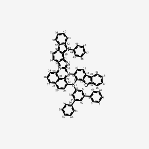 c1ccc(-c2cc(B3c4c(ccc5c4oc4ccccc45)-n4c5c3ccc3cccc(c35)n3c5ccc6c7ccccc7n(-c7ccccc7)c6c5nc43)cc(-c3ccccc3)c2)cc1